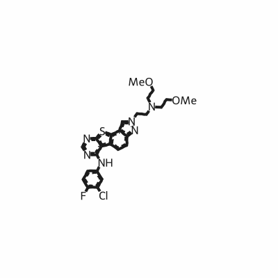 COCCN(CCOC)CCn1cc2c(ccc3c2sc2ncnc(Nc4ccc(F)c(Cl)c4)c23)n1